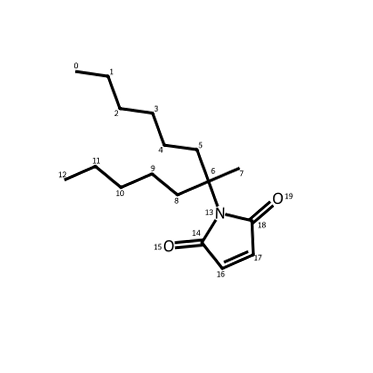 CCCCCCC(C)(CCCCC)N1C(=O)C=CC1=O